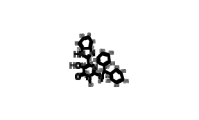 CN(c1nc(-c2nc3ccccc3[nH]2)c(O)c(=O)n1C)C(c1ccccc1)c1ccccc1